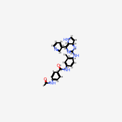 CC(=O)Nc1ccc(C(=O)Nc2ccc(Nc3nc(-c4cccnc4)c4[nH]ccc4n3)c(C)c2)cc1